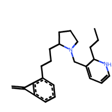 C=C1c2cccc(CCCC3CCCN3CC3=CC=CNC3CCC)c21